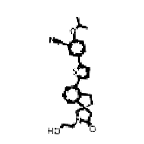 CC(C)Oc1ccc(-c2ccc(-c3cccc4c3CC[C@]43CC(=O)N(CCO)C3)s2)cc1C#N